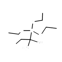 CCO[Si](OCC)(OCC)C(N)(N)CC